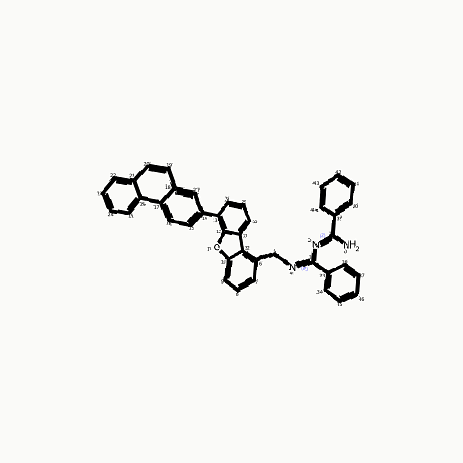 N/C(=N\C(=N/Cc1cccc2oc3c(-c4ccc5c(ccc6ccccc65)c4)cccc3c12)c1ccccc1)c1ccccc1